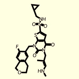 CN/C=C(\C)Cn1c(=O)c2cc(S(=O)(=O)NCC3CC3)sc2n(Cc2cc3c(cc2F)COCC3)c1=O